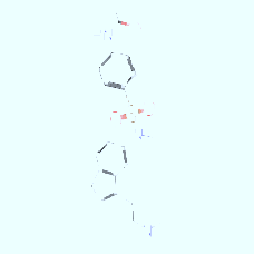 CC(=O)Nc1ccc(S(=O)(=O)N(C)c2ccc3c(c2)C(CCN(C)C)=CC3)cc1